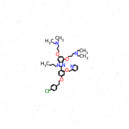 CCCCn1c(-c2ccc(OCCc3ccc(Cl)cc3)cc2OCc2ccccn2)nc2c(OCCCN(CC)CC)cc(OCCCN(CC)CC)cc21